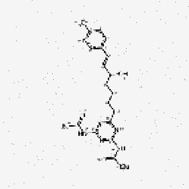 Cc1ccc(C=CC(O)CCCCc2cc(NC(=O)C(C)(C)C)nc(NC(=O)C(C)(C)C)n2)cn1